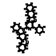 c1ccc(-c2nc(-n3c4ccccc4c4cc5c(cc43)oc3ccccc35)nc3c2oc2cc4ccccc4cc23)cc1